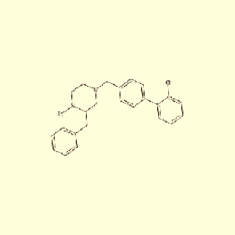 CCN1CCN(Cc2ccc(-c3ccccc3Cl)cc2)CC1Cc1ccccc1